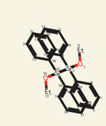 CCO[Si](c1ccccc1)(c1ccccc1)[Si](OCC)(c1ccccc1)c1ccccc1